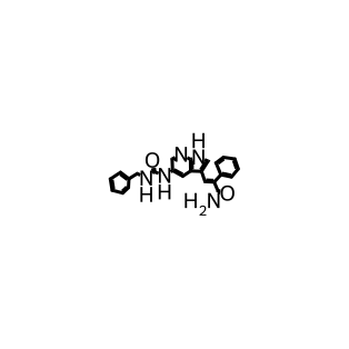 NC(=O)/C(=C/c1c[nH]c2ncc(NC(=O)NCc3ccccc3)cc12)c1ccccc1